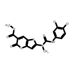 COC(=O)c1cc2sc(N(C)C(=O)Nc3ccc(Cl)c(Cl)c3)cc2oc1=O